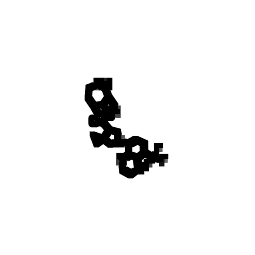 O=C(NC1C2CCNCC1COC2)C1CN(c2ccc(C(F)(F)F)c3nccnc23)CC12CC2